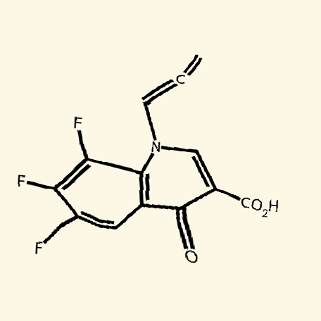 C=C=Cn1cc(C(=O)O)c(=O)c2cc(F)c(F)c(F)c21